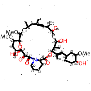 CCC1/C=C(\C)CC(C)CC(OC)C2OC(O)(C(=O)C(=O)N3CCCCC3C(=O)OC(C(C)=CC3CCC(O)C(OC)C3)C(C)C(O)CC1=O)C(C)CC2OC